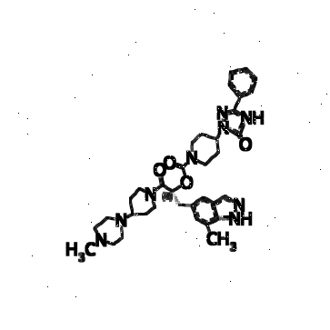 Cc1cc(C[C@@H](OC(=O)N2CCC(n3nc(-c4ccccc4)[nH]c3=O)CC2)C(=O)N2CCC(N3CCN(C)CC3)CC2)cc2cn[nH]c12